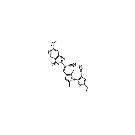 CCc1cc(C#N)c(-n2c(C)cc(/C=C(\C#N)c3nc4cc(OC)ncc4[nH]3)c2C)s1